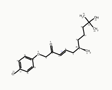 C[C@@H](C/C=C/C(=O)COc1ccc(Cl)cc1)CCCC(C)(C)O